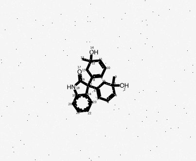 CC1(O)C=CC=C(C2(C3=CC=CC(C)(O)C3)C(=O)Nc3ccccc32)C1